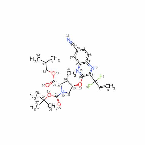 C=CC(F)(F)c1nc2ccc(C#N)cc2nc1O[C@H]1CN(C(=O)OC(C)(C)C)[C@H](C(=O)OCC(C)C)[C@@H]1C